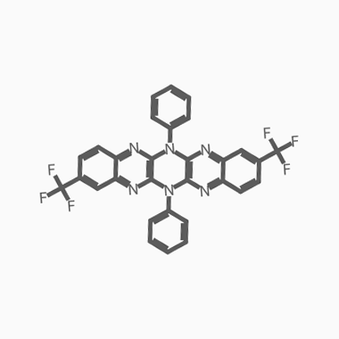 FC(F)(F)c1ccc2nc3c(nc2c1)N(c1ccccc1)c1nc2ccc(C(F)(F)F)cc2nc1N3c1ccccc1